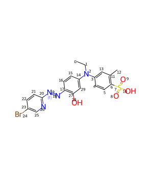 CCN(c1ccc(S(=O)(=O)O)c(C)c1)c1ccc(/N=N/c2ccc(Br)cn2)c(O)c1